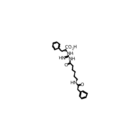 N=C(NC(=O)CCCCCNC(=O)Cc1ccccc1)N[C@@H](Cc1ccccc1)C(=O)O